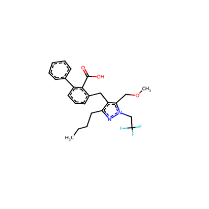 CCCCc1nn(CC(F)(F)F)c(COC)c1Cc1cccc(-c2ccccc2)c1C(=O)O